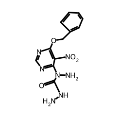 NNC(=O)N(N)c1ncnc(OCc2ccccc2)c1[N+](=O)[O-]